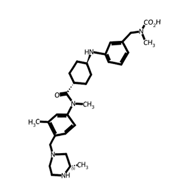 Cc1cc(N(C)C(=O)[C@H]2CC[C@H](Nc3cccc(CN(C)C(=O)O)c3)CC2)ccc1CN1CCN[C@@H](C)C1